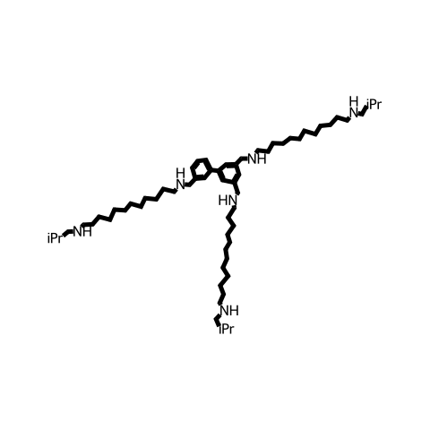 CC(C)CNCCCCCCCCCCCCNCc1cccc(-c2cc(CNCCCCCCCCCCCCNCC(C)C)cc(CNCCCCCCCCCCCCNCC(C)C)c2)c1